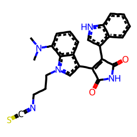 CN(C)c1cccc2c(C3=C(c4c[nH]c5ccccc45)C(=O)NC3=O)cn(CCCN=C=S)c12